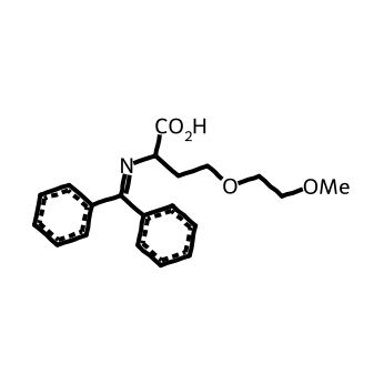 COCCOCCC(N=C(c1ccccc1)c1ccccc1)C(=O)O